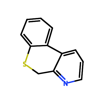 c1ccc2c(c1)SCc1ncccc1-2